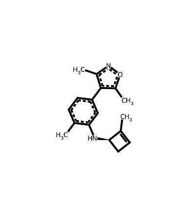 CC1=CC[C@H]1Nc1cc(-c2c(C)noc2C)ccc1C